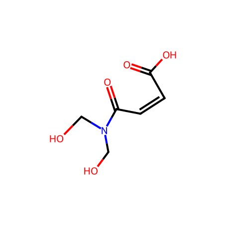 O=C(O)/C=C\C(=O)N(CO)CO